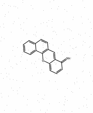 N=c1cccc2oc3c(ccc4ccccc43)cc1-2